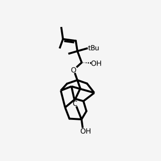 CC(C)=CC(C)([C@H](O)OC12CC3C4CC5(O)CC3C(C1)C(C5)C4C2)C(C)(C)C